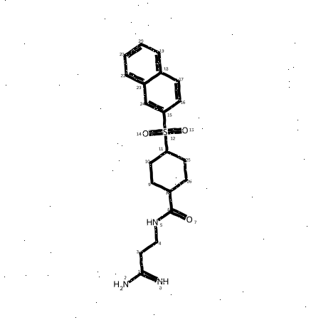 N=C(N)CCNC(=O)C1CCC(S(=O)(=O)c2ccc3ccccc3c2)CC1